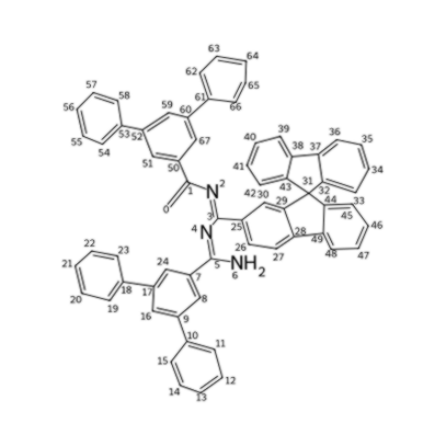 C=C(/N=C(\N=C(/N)c1cc(-c2ccccc2)cc(-c2ccccc2)c1)c1ccc2c(c1)C1(c3ccccc3-c3ccccc31)c1ccccc1-2)c1cc(-c2ccccc2)cc(-c2ccccc2)c1